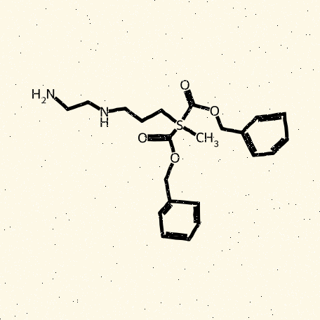 CS(CCCNCCN)(C(=O)OCc1ccccc1)C(=O)OCc1ccccc1